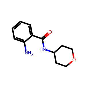 Nc1ccccc1C(=O)NC1CCOCC1